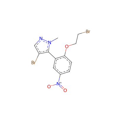 Cn1ncc(Br)c1-c1cc([N+](=O)[O-])ccc1OCCBr